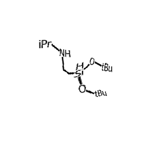 CC(C)NC[SiH](OC(C)(C)C)OC(C)(C)C